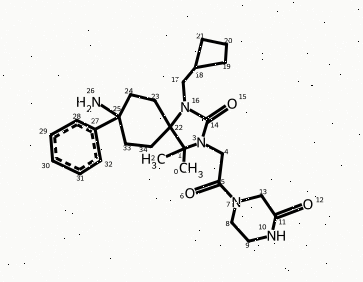 CC1(C)N(CC(=O)N2CCNC(=O)C2)C(=O)N(CC2CCC2)C12CCC(N)(c1ccccc1)CC2